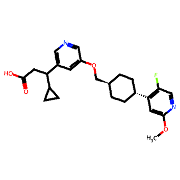 COc1cc([C@H]2CC[C@H](COc3cncc(C(CC(=O)O)C4CC4)c3)CC2)c(F)cn1